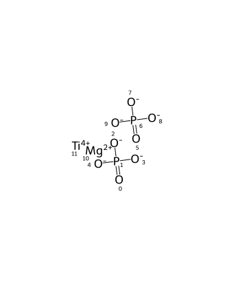 O=P([O-])([O-])[O-].O=P([O-])([O-])[O-].[Mg+2].[Ti+4]